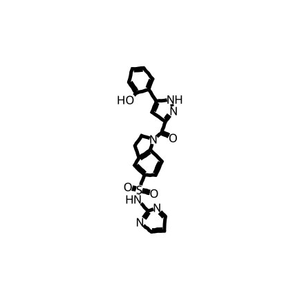 O=C(c1cc(-c2ccccc2O)[nH]n1)N1CCc2cc(S(=O)(=O)Nc3ncccn3)ccc21